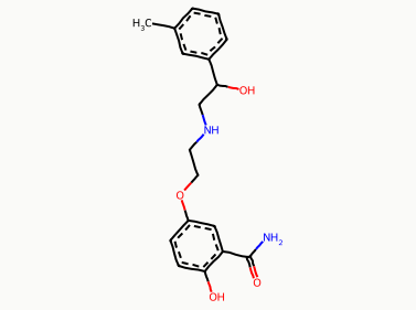 Cc1cccc(C(O)CNCCOc2ccc(O)c(C(N)=O)c2)c1